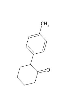 Cc1ccc(C2CCCCC2=O)cc1